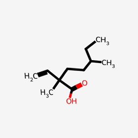 C=CC(C)(CCC(C)CC)C(=O)O